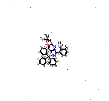 [2H]C([2H])([2H])Oc1cnc2c(-c3cccc(C)c3C)nn(C(c3ccccc3)(c3ccccc3)c3ccccc3)c2c1